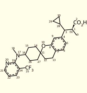 C[C@H](C(=O)O)C(c1ccc2c(c1)OC1(CC2)CCC(N(C)c2ncccc2C(F)(F)F)CC1)C1CC1